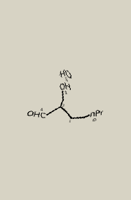 CCCCC(O)C=O.[OH]